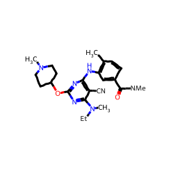 CCN(C)c1nc(OC2CCN(C)CC2)nc(Nc2cc(C(=O)NC)ccc2C)c1C#N